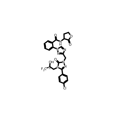 O=C(NC1CCOC1=O)c1ccccc1-n1cnc(Cn2nc(-c3ccc(Cl)cc3)n(C[C@H](O)C(F)(F)F)c2=O)n1